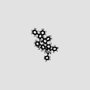 c1ccc(-c2nc(-c3ccccc3)nc(-c3ccc4c(c3)sc3cccc(-n5c6cc(-c7ccccc7)c7ccccc7c6c6c7ccccc7c(-c7ccccc7)cc65)c34)n2)cc1